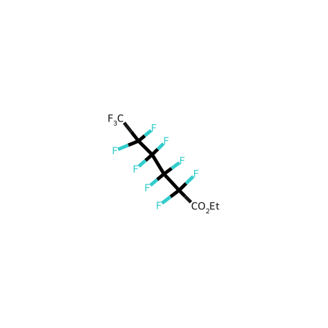 CCOC(=O)C(F)(F)C(F)(F)C(F)(F)C(F)(F)C(F)(F)F